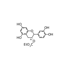 CCOC(=O)O[C@@H]1Cc2c(O)cc(O)cc2OC1c1ccc(O)c(O)c1